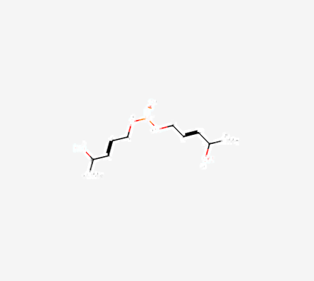 COC(O)C=CCO[PH](=O)OCC=CC(O)OC